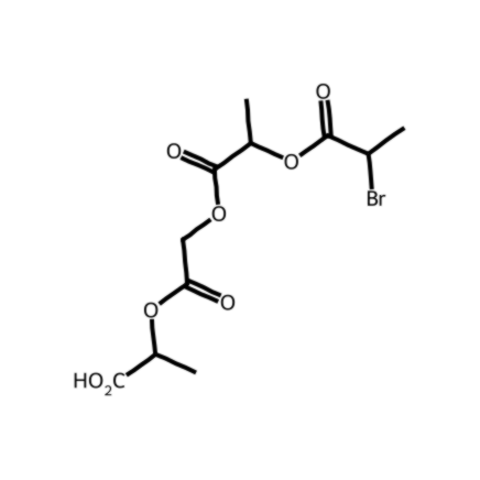 CC(Br)C(=O)OC(C)C(=O)OCC(=O)OC(C)C(=O)O